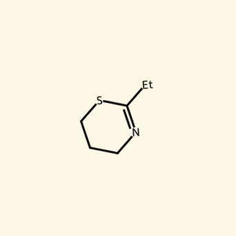 CCC1=NCCCS1